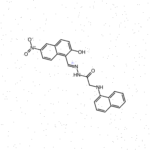 O=C(CNc1cccc2ccccc12)N/N=C/c1c(O)ccc2cc([N+](=O)[O-])ccc12